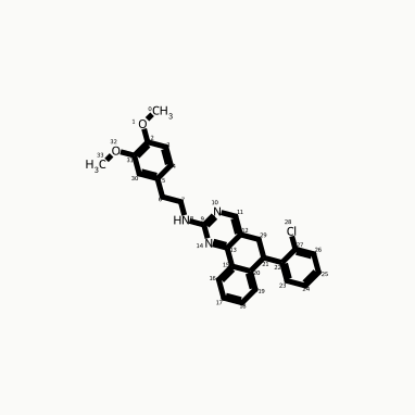 COc1ccc(CCNc2ncc3c(n2)-c2ccccc2C(c2ccccc2Cl)C3)cc1OC